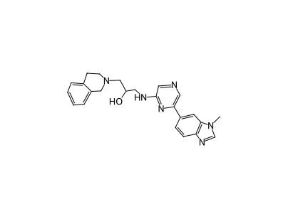 Cn1cnc2ccc(-c3cncc(NCC(O)CN4CCc5ccccc5C4)n3)cc21